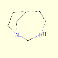 C1CC2CCN(CN1)C2